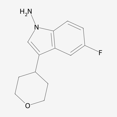 Nn1cc(C2CCOCC2)c2cc(F)ccc21